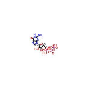 C[C@]1(COP(=O)(O)OP(=O)(O)OP(=O)(O)O)O[C@@H](n2cnc3c(=O)[nH]c(N)nc32)[C@H](O)[C@@H]1O